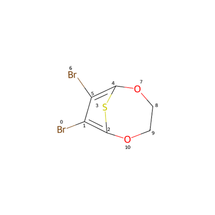 Brc1c2sc(c1Br)OCCO2